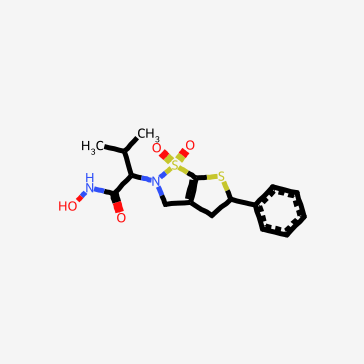 CC(C)C(C(=O)NO)N1CC2=C(SC(c3ccccc3)C2)S1(=O)=O